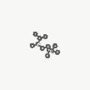 c1ccc(-c2cc(-c3ccccc3)cc(-c3cc(-c4ccccc4)nc(-c4cccc(-c5cccc6c5cc(-c5ccccc5)n5nc(-c7ccccc7)c(-c7ccccc7)c65)c4)n3)c2)cc1